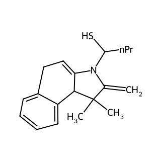 C=C1N(C(S)CCC)C2=CCc3ccccc3C2C1(C)C